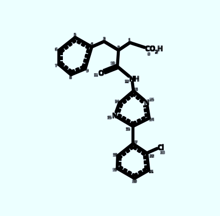 O=C(O)CC(Cc1ccccc1)C(=O)Nc1cnc(-c2ccccc2Cl)cn1